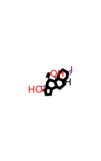 C=CO.C[C@]12CCC3C(CC[C@@H]4C[C@@H](I)CC[C@]34C)C1CCC2O